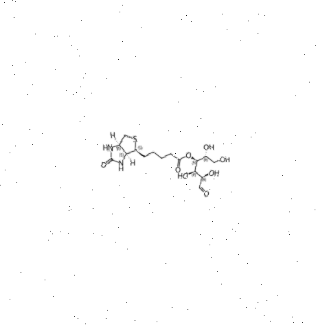 O=C[C@H](O)[C@@H](O)[C@@H](OC(=O)CCCC[C@@H]1SC[C@@H]2NC(=O)N[C@@H]21)[C@H](O)CO